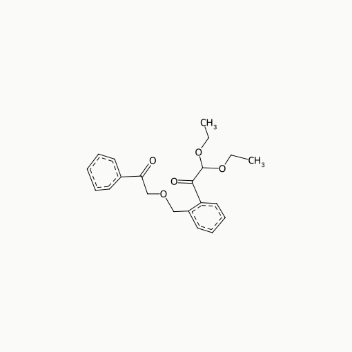 CCOC(OCC)C(=O)c1ccccc1COCC(=O)c1ccccc1